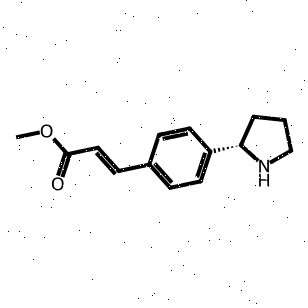 COC(=O)C=Cc1ccc([C@@H]2CCCN2)cc1